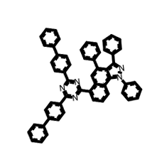 c1ccc(-c2ccc(-c3nc(-c4ccc(-c5ccccc5)cc4)nc(-c4cccc5c4cc(-c4ccccc4)c4c(-c6ccccc6)nn(-c6ccccc6)c45)n3)cc2)cc1